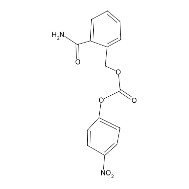 NC(=O)c1ccccc1COC(=O)Oc1ccc([N+](=O)[O-])cc1